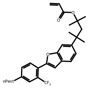 C=CC(=O)OC(C)(C)CC(C)(C)c1ccc2cc(-c3ccc(CCCCC)cc3C(F)(F)F)oc2c1